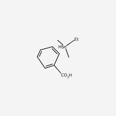 C[CH2][SnH]([CH3])[CH3].O=C(O)c1ccccc1